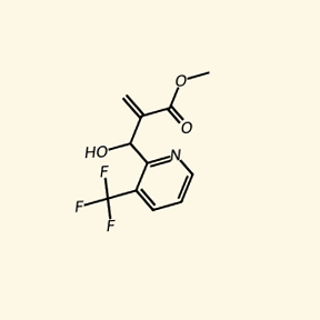 C=C(C(=O)OC)C(O)c1ncccc1C(F)(F)F